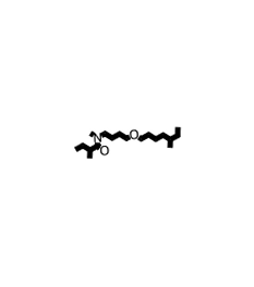 CCC(C)CCCCOCCCCN(C)C(=O)C(C)CC